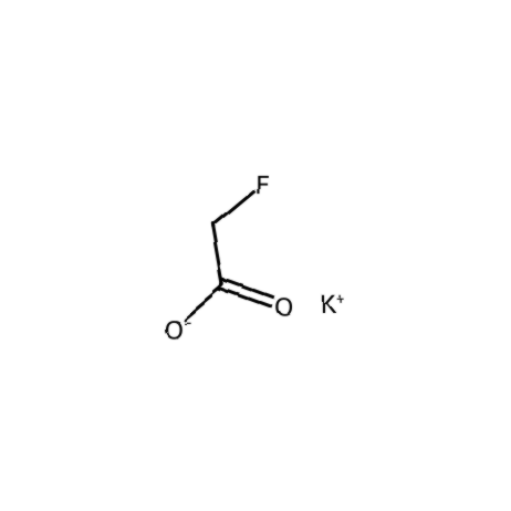 O=C([O-])CF.[K+]